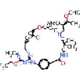 C=N/C(=N\C1=N/Cc2ccc(c(Cl)c2)OCCCN(C/C(OC)=C(\C)OC=O)CC(C)(C)CNC(=O)c2ccc(cc2)N1)OCC(F)(F)F